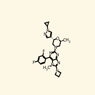 C[C@H]1CN(c2nc(-c3ccc(F)cc3F)c3c(n2)nc(N2CCC2)n3C)C[C@H](c2cnn(C3CC3)c2)O1